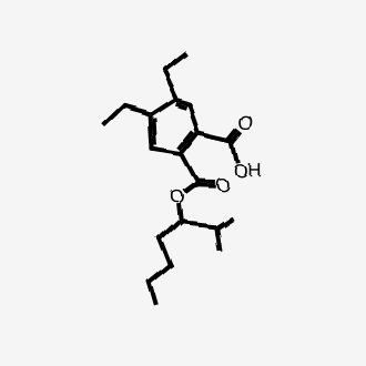 CCCCC(OC(=O)c1cc(CC)c(CC)cc1C(=O)O)C(C)C